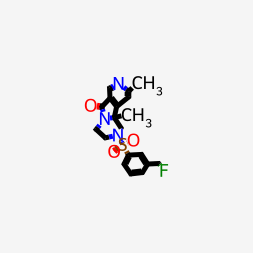 Cc1cc2c(cn1)C(=O)N1CCN(S(=O)(=O)c3cccc(CF)c3)CC21C